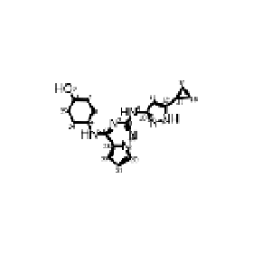 OC1CCC(Nc2nc(Nc3cc(C4CC4)[nH]n3)nn3cccc23)CC1